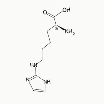 N[C@@H](CCCCNc1ncc[nH]1)C(=O)O